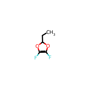 CCC1OC(F)=C(F)O1